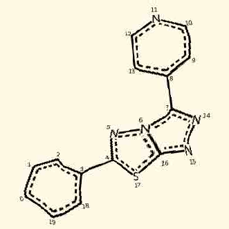 c1ccc(-c2nn3c(-c4ccncc4)nnc3s2)cc1